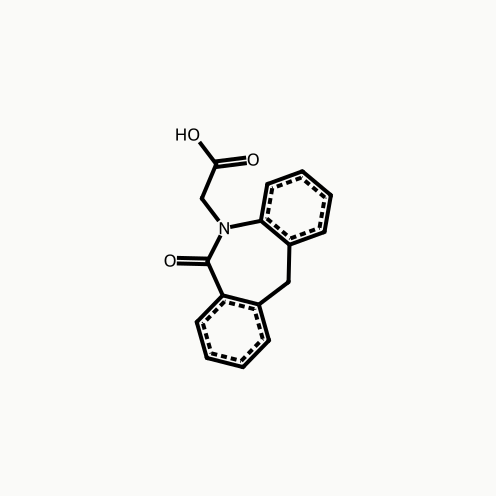 O=C(O)CN1C(=O)c2ccccc2Cc2ccccc21